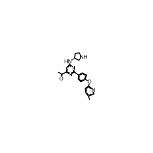 CC(=O)c1cc(N[C@H]2CCNC2)nc(-c2ccc(Oc3ccc(C)cn3)cc2)n1